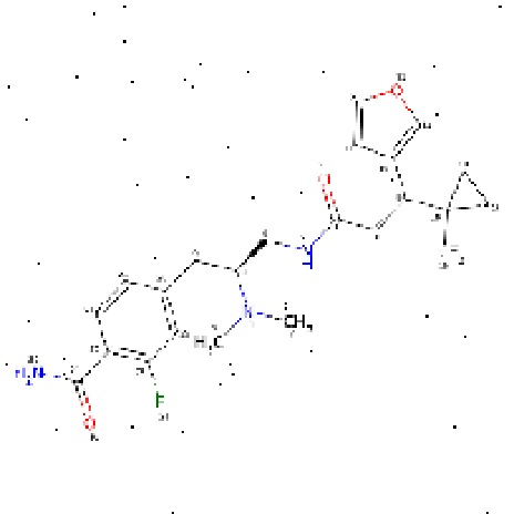 CN(C)[C@H](CNC(=O)C[C@H](c1ccoc1)C1(C(F)(F)F)CC1)Cc1ccc(C(N)=O)c(F)c1